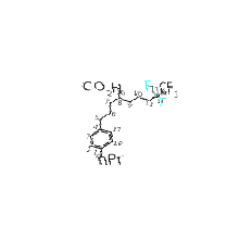 [CH2]CCc1ccc(CCCC(CCCC(F)(F)C(F)(F)F)C(=O)O)cc1